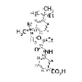 CCC(Oc1ccc(C(C)(C)CC)cc1C(C)(C)CC)C(=O)Nc1cccc(C(=O)O)c1